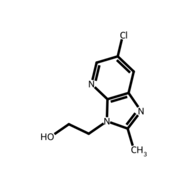 Cc1nc2cc(Cl)cnc2n1CCO